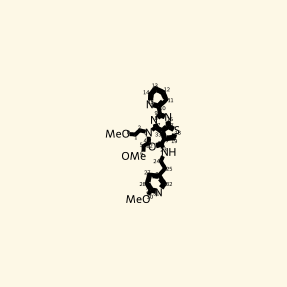 COCCN(CCOC)c1nc(-c2ccccn2)nc2scc(C(=O)NCCc3ccc(OC)nc3)c12